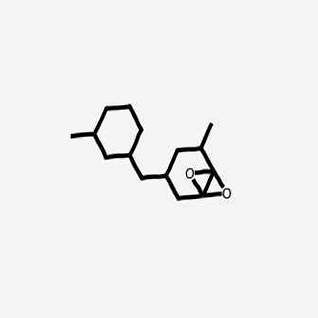 CC1CCCC(CC2CC(C)C34OC3(C2)O4)C1